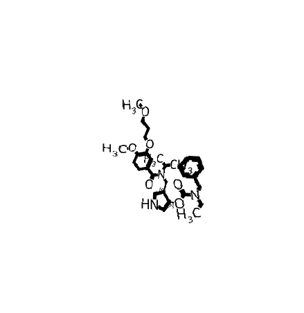 CCN(Cc1ccccc1)C(=O)O[C@@H]1CNC[C@H]1CN(C(=O)C1=CC(OCCCOC)=C(OC)CC1)C(C)C